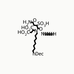 CCCCCCCCCCCCCCCCCCN(C(=O)C(CC(N)=O)S(=O)(=O)O)C(CC(=O)O)C(=O)O.[NaH].[NaH].[NaH].[NaH]